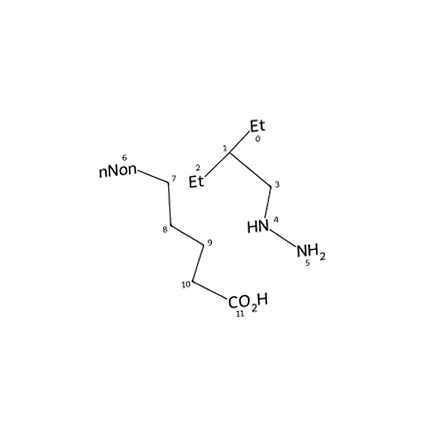 CCC(CC)CNN.CCCCCCCCCCCCCC(=O)O